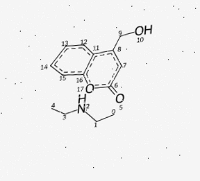 CCNCC.O=c1cc(CO)c2ccccc2o1